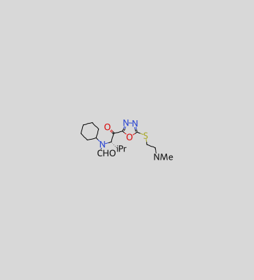 CNCCSc1nnc(C(=O)[C@H](C(C)C)N(C=O)C2CCCCC2)o1